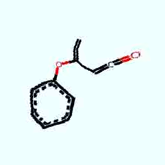 C=C([C]=C=O)Oc1ccccc1